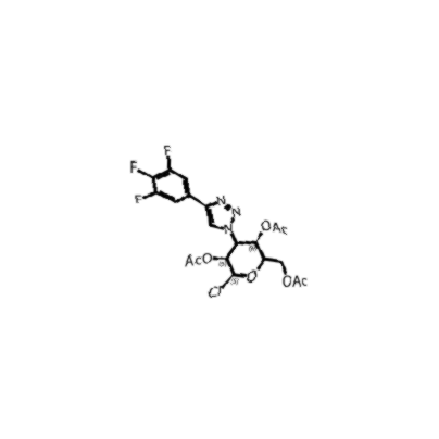 CC(=O)OCC1O[C@@H](Cl)[C@@H](OC(C)=O)C(n2cc(-c3cc(F)c(F)c(F)c3)nn2)[C@H]1OC(C)=O